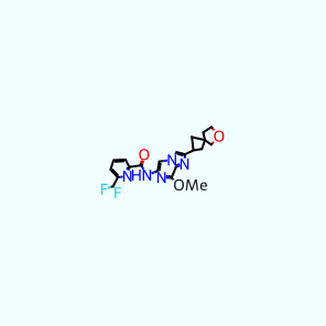 COc1nc(NC(=O)c2cccc(C(F)F)n2)cn2cc(C3CC4(CCOC4)C3)nc12